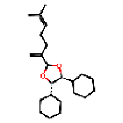 C=C(CCC=C(C)C)C1O[C@@H](C2CCCCC2)[C@H](C2CCCCC2)O1